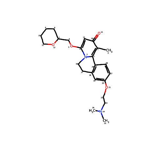 Cc1c2n(c(OCC3CCCCO3)cc1=O)CCc1cc(OCCN(C)C)ccc1-2